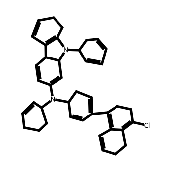 ClC1=C2CCC=CC2=C(C2=CCC(N(C3=CC4C(C=C3)C3=C(CCC=C3)N4C3C=CC=CC3)C3C=CCCC3)C=C2)CC1